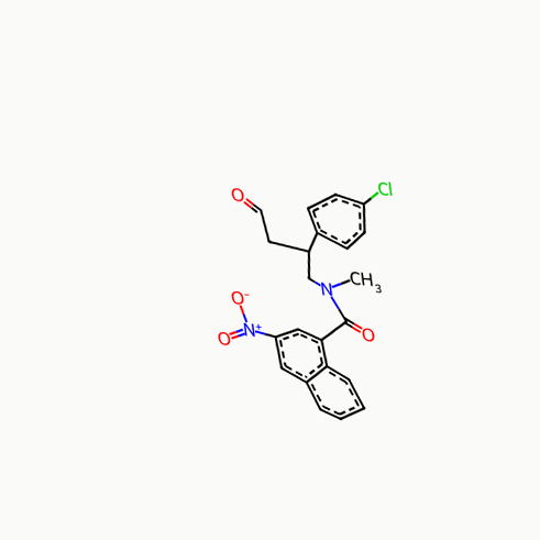 CN(CC(CC=O)c1ccc(Cl)cc1)C(=O)c1cc([N+](=O)[O-])cc2ccccc12